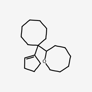 C1=C(C2(C3CCCCCCO3)CCCCCCC2)CCC1